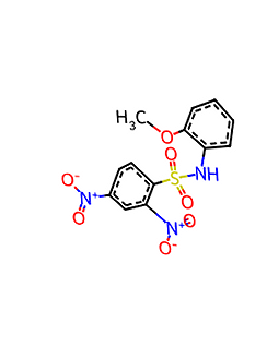 COc1ccccc1NS(=O)(=O)c1ccc([N+](=O)[O-])cc1[N+](=O)[O-]